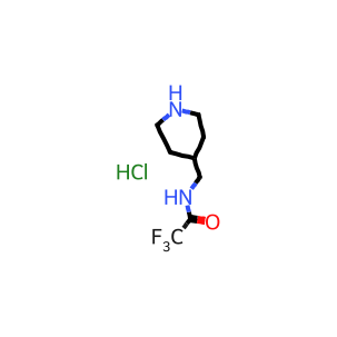 Cl.O=C(NCC1CCNCC1)C(F)(F)F